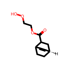 O=C(OCCOO)C1C[C@@H]2C=CC1CC2